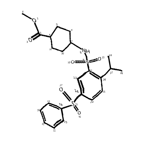 COC(=O)C1CCC(NS(=O)(=O)c2cc(S(=O)(=O)c3ccccc3)ccc2C(C)C)CC1